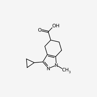 Cn1nc(C2CC2)c2c1CCC(C(=O)O)C2